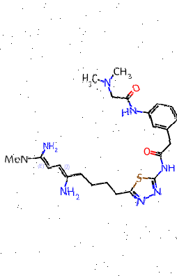 CN/C(N)=C/C=C(\N)CCCCc1nnc(NC(=O)Cc2cccc(NC(=O)CN(C)C)c2)s1